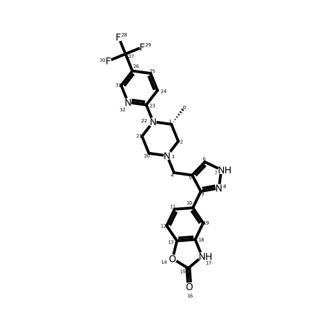 C[C@@H]1CN(Cc2c[nH]nc2-c2ccc3oc(=O)[nH]c3c2)CCN1c1ccc(C(F)(F)F)cn1